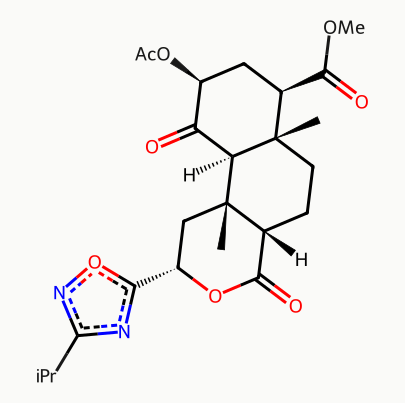 COC(=O)[C@@H]1C[C@H](OC(C)=O)C(=O)[C@@H]2[C@@]3(C)C[C@@H](c4nc(C(C)C)no4)OC(=O)[C@H]3CC[C@]21C